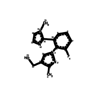 Cc1nn(-c2c(F)cccc2-c2nccn2C)cc1CO